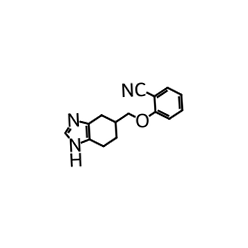 N#Cc1ccccc1OCC1CCc2[nH]cnc2C1